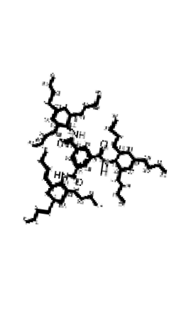 CCCCC1CC(CCCC)C(NC(=O)c2cc(C(=O)NC3C(CCCC)CC(CCCC)CC3CCCC)cc(C(=O)NC3C(CCCC)CC(CCCC)CC3CCCC)c2)C(CCCC)C1